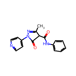 CC1=NN(c2ccncc2)C(=O)C1C(=O)Nc1ccccc1